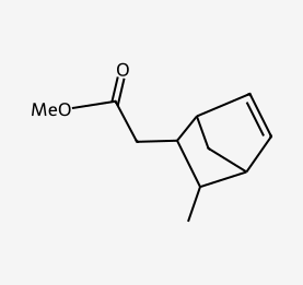 COC(=O)CC1C2C=CC(C2)C1C